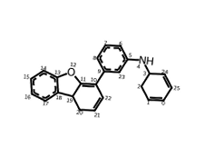 C1=CCC(Nc2cccc(C3=C4Oc5ccccc5C4CC=C3)c2)C=C1